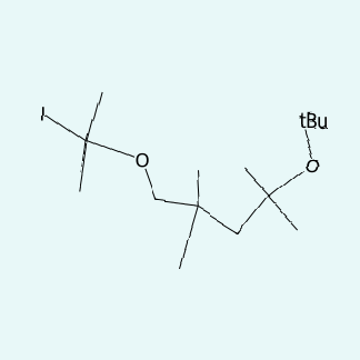 CC(C)(COC(C)(C)I)CC(C)(C)OC(C)(C)C